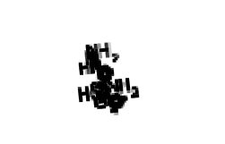 Cc1cc(C)cc(C(C(=O)O)=C(N)C(=O)c2cccc(NC=NN)c2)c1